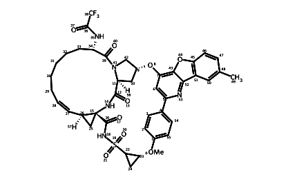 COc1ccc(-c2cc(O[C@@H]3C[C@H]4C(=O)N[C@]5(C(=O)NS(=O)(=O)C6CC6)C[C@H]5/C=C\CCCCC[C@H](NC(=O)C(F)(F)F)C(=O)N4C3)c3oc4ccc(C)cc4c3n2)cc1